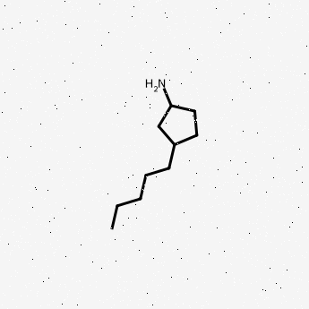 CCCCCC1CCC(N)C1